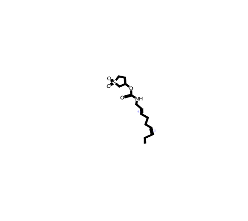 CC/C=C\CC/C=C/CNC(=O)OC1CCS(=O)(=O)C1